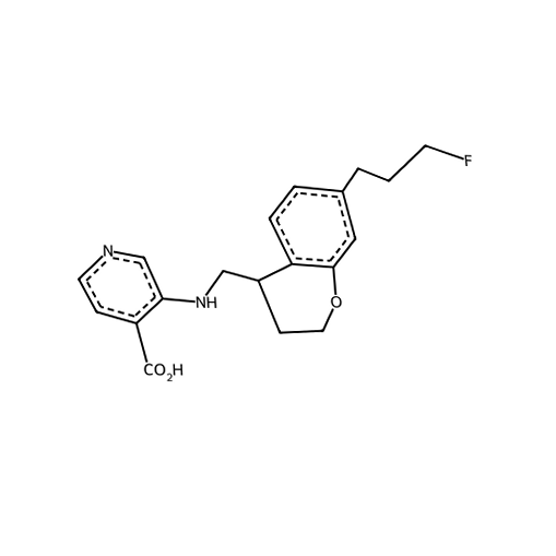 O=C(O)c1ccncc1NCC1CCOc2cc(CCCF)ccc21